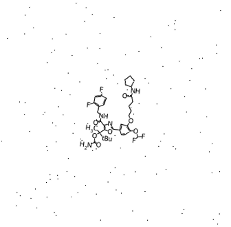 CC(C)(C)C(C)(OC(N)=O)c1oc(-c2ccc(OC(F)F)c(OCCCCC(=O)NC3CCCC3)c2)nc1C(=O)NCc1ccc(F)cc1F